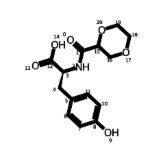 O=C(N[C@@H](Cc1ccc(O)cc1)C(=O)O)C1COCCO1